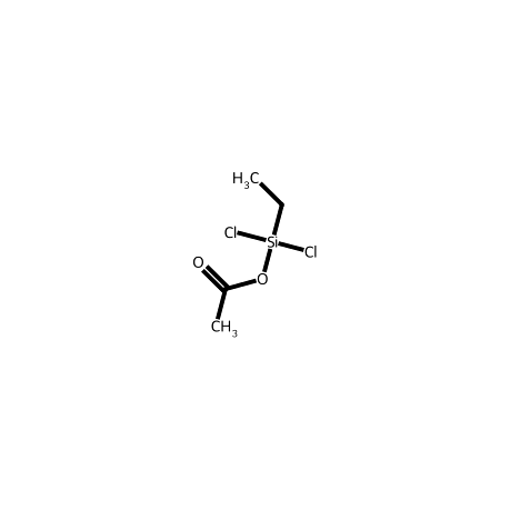 CC[Si](Cl)(Cl)OC(C)=O